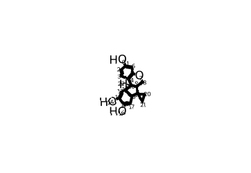 Oc1ccc2c(c1)OCC1[C@@H]2c2cc(O)c(O)cc2C12CC2